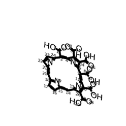 O=C(O)C1=C2N=C(C(C(=O)O)=C3N=C(C=C4C=CC(=N4)C=C4C=CC1=N4)C(C(=O)O)=C3C(=O)O)C(C(=O)O)=C2C(=O)O